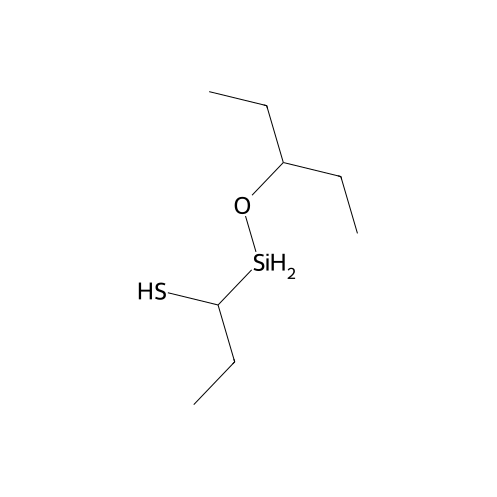 CCC(CC)O[SiH2]C(S)CC